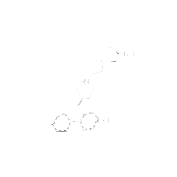 COc1ccc(-c2ccccc2C=C2CCN(CCOCC(N)=O)CC2)cc1.Cl